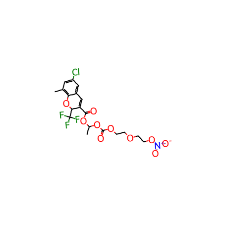 Cc1cc(Cl)cc2c1OC(C(F)(F)F)C(C(=O)OC(C)OC(=O)OCCOCCO[N+](=O)[O-])=C2